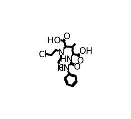 CC(C(C(=O)O)N(CCCl)CCCl)[C@H](NC(=O)Nc1ccccc1)C(=O)O